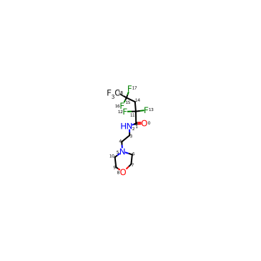 O=C(NCCN1CCOCC1)C(F)(F)CC(F)(F)C(F)(F)F